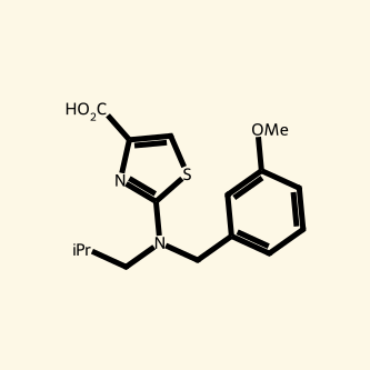 COc1cccc(CN(CC(C)C)c2nc(C(=O)O)cs2)c1